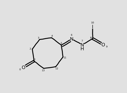 O=C1CCCC(=NNC(=O)I)CCC1